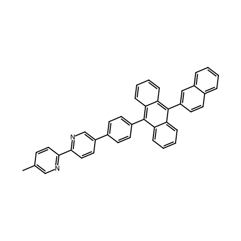 Cc1ccc(-c2ccc(-c3ccc(-c4c5ccccc5c(-c5ccc6ccccc6c5)c5ccccc45)cc3)cn2)nc1